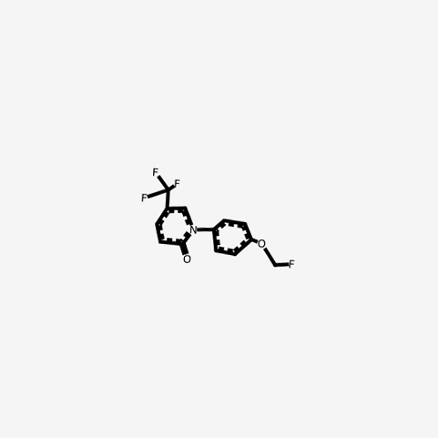 O=c1ccc(C(F)(F)F)cn1-c1ccc(OCF)cc1